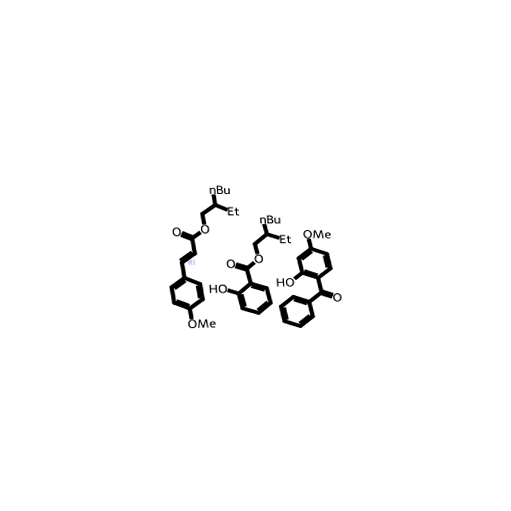 CCCCC(CC)COC(=O)/C=C/c1ccc(OC)cc1.CCCCC(CC)COC(=O)c1ccccc1O.COc1ccc(C(=O)c2ccccc2)c(O)c1